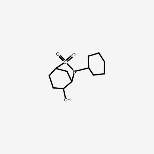 O=S1(=O)C2CCC(O)C(C2)N1C1CCCCC1